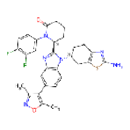 Cc1noc(C)c1-c1ccc2c(c1)nc([C@@H]1CCCC(=O)N1c1ccc(F)c(F)c1)n2[C@@H]1CCc2nc(N)sc2C1